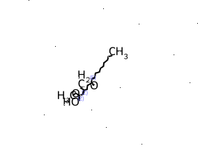 C=C/C(=C\C(=C\O)OC)CCC(=O)/C=C/CCCCCCCCC